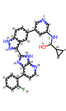 OC(Nc1cncc(-c2ccc3[nH]nc(-c4nc5c(-c6ccccc6F)ccnc5[nH]4)c3c2)c1)C1CC1